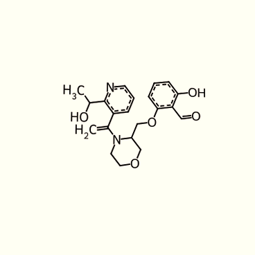 C=C(c1cccnc1C(C)O)N1CCOCC1COc1cccc(O)c1C=O